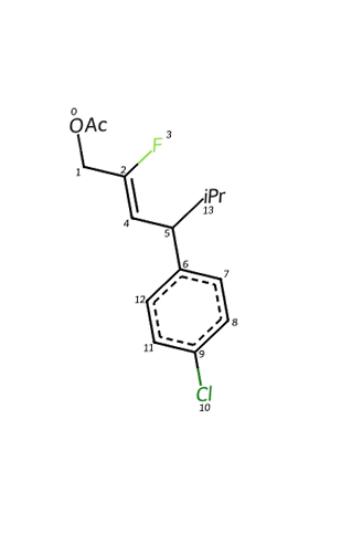 CC(=O)OCC(F)=CC(c1ccc(Cl)cc1)C(C)C